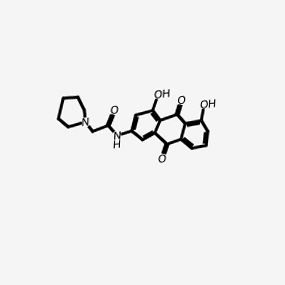 O=C(CN1CCCCC1)Nc1cc(O)c2c(c1)C(=O)c1cccc(O)c1C2=O